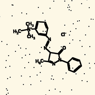 CC1=NN(c2ccccc2)C(=O)C1N=Nc1cccc([N+](C)(C)C)c1.[Cl-]